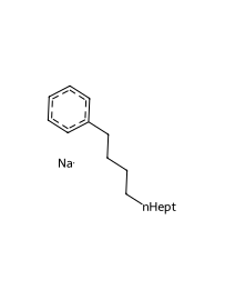 CCCCCCCCCCCc1ccccc1.[Na]